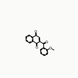 COc1ccccc1C(=O)C1=CC(=O)c2ccccc2C1=O